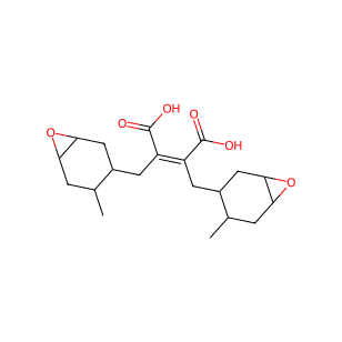 CC1CC2OC2CC1C/C(C(=O)O)=C(\CC1CC2OC2CC1C)C(=O)O